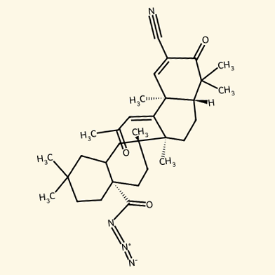 CC(=O)/C=C1/[C@@]2(C)C=C(C#N)C(=O)C(C)(C)[C@@H]2CC[C@@]1(C)[C@]1(C)CC[C@@]2(C(=O)N=[N+]=[N-])CCC(C)(C)CC2C1